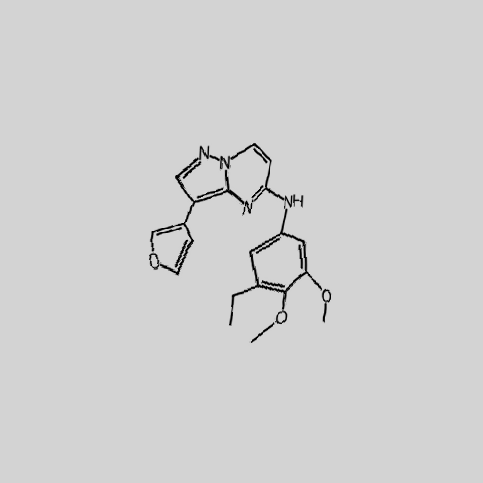 CCc1cc(Nc2ccn3ncc(-c4ccoc4)c3n2)cc(OC)c1OC